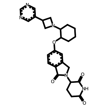 O=C1CCC(N2Cc3cc(OC4CCCCC4N4CC(c5cncnc5)C4)ccc3C2=O)C(=O)N1